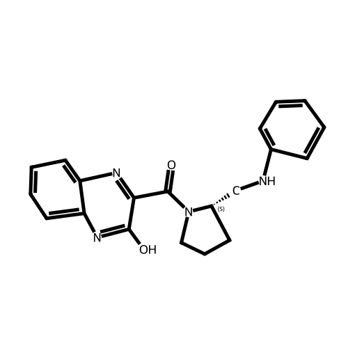 O=C(c1nc2ccccc2nc1O)N1CCC[C@H]1CNc1ccccc1